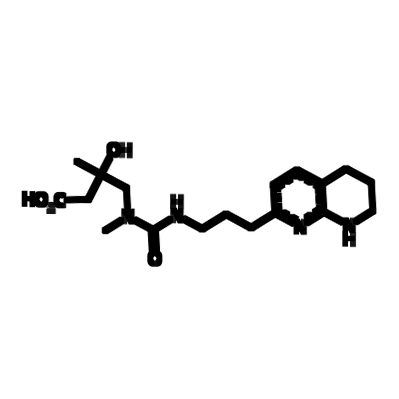 CN(CC(C)(O)CC(=O)O)C(=O)NCCCc1ccc2c(n1)NCCC2